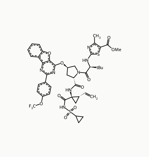 C=C[C@@H]1C[C@]1(NC(=O)[C@@H]1C[C@@H](Oc2nc(-c3ccc(OC(F)(F)F)cc3)nc3c2oc2ccccc23)CN1C(=O)[C@@H](Nc1nc(C)c(C(=O)OC)s1)C(C)(C)C)C(=O)NS(=O)(=O)C1CC1